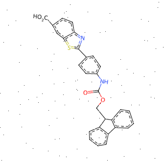 O=C(Nc1ccc(-c2nc3ccc(C(=O)O)cc3s2)cc1)OCC1c2ccccc2-c2ccccc21